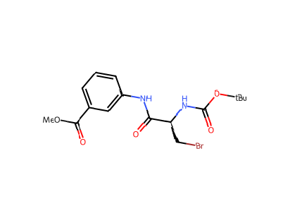 COC(=O)c1cccc(NC(=O)[C@H](CBr)NC(=O)OC(C)(C)C)c1